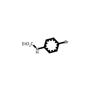 CCOC(=O)Nc1c[c]c(Br)cc1